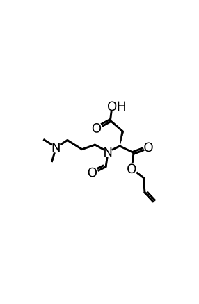 C=CCOC(=O)[C@H](CC(=O)O)N(C=O)CCCN(C)C